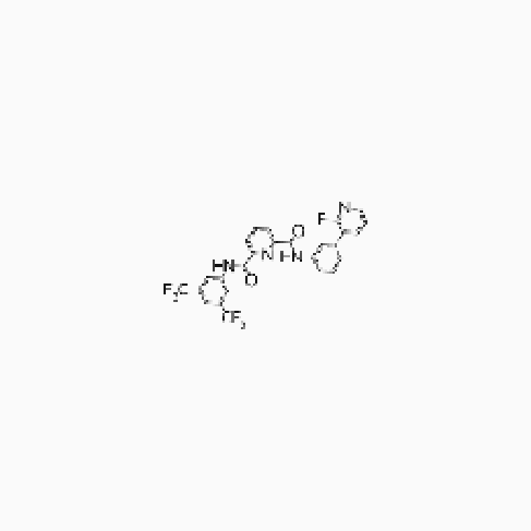 O=C(Nc1cccc(-c2cccnc2F)c1)c1cccc(C(=O)Nc2cc(C(F)(F)F)cc(C(F)(F)F)c2)n1